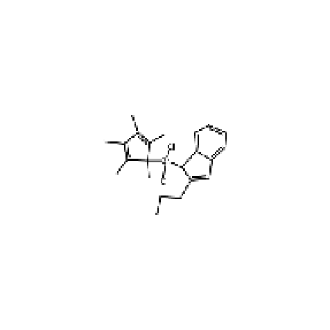 CCCC1=Cc2ccccc2[CH]1[Zr]([Cl])([Cl])[C]1(C)C(C)=C(C)C(C)=C1C